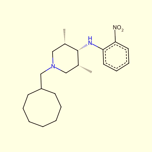 C[C@@H]1CN(CC2CCCCCCC2)C[C@H](C)[C@@H]1Nc1ccccc1[N+](=O)[O-]